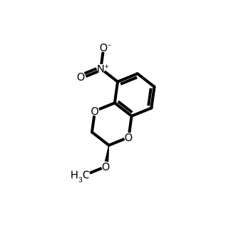 CO[C@H]1COc2c(cccc2[N+](=O)[O-])O1